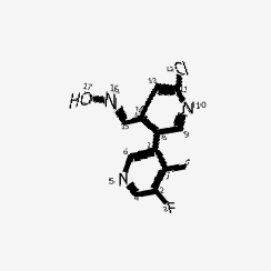 Cc1c(F)cncc1-c1cnc(Cl)cc1/C=N/O